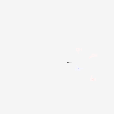 CCCCCCCCC[C@@H]1N[C@@H](CO)[C@H](O)[C@H]1O